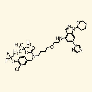 CC(C)(C)OC(=O)N(CCCCOCCNc1cc(-n2cncn2)cc2c1cnn2C1CCCCO1)Cc1ccc(OC(F)(F)F)c(Cl)c1